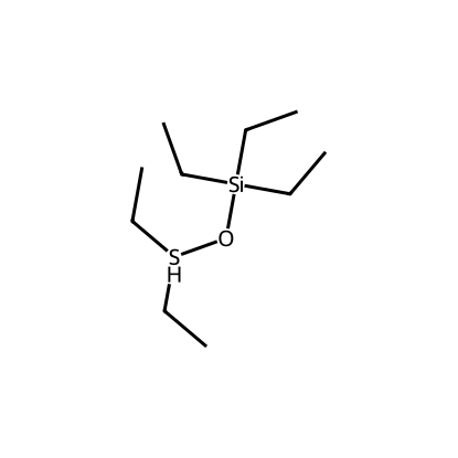 CC[SH](CC)O[Si](CC)(CC)CC